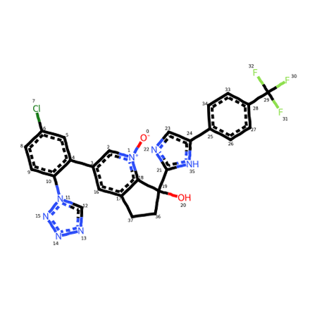 [O-][n+]1cc(-c2cc(Cl)ccc2-n2cnnn2)cc2c1C(O)(c1ncc(-c3ccc(C(F)(F)F)cc3)[nH]1)CC2